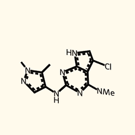 CNc1nc(Nc2cnn(C)c2C)nc2[nH]cc(Cl)c12